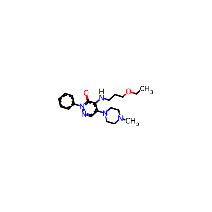 CCOCCCNc1c(N2CCN(C)CC2)cnn(-c2ccccc2)c1=O